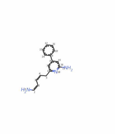 N/C=C\C=C/Cc1cc(-c2ccccc2)cc(N)n1